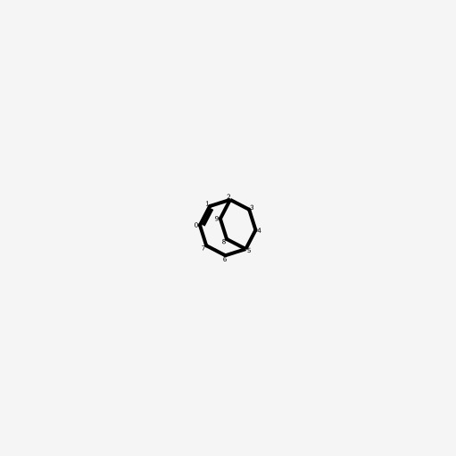 C1=C\C2CCC(CC/1)CC2